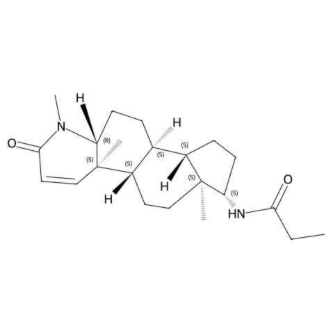 CCC(=O)N[C@H]1CC[C@H]2[C@@H]3CC[C@H]4N(C)C(=O)C=C[C@]4(C)[C@H]3CC[C@]12C